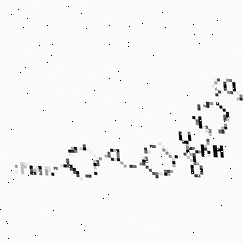 CCCCCc1ccc(OCc2ccc(S(=O)(=O)Nc3ccc(C(=O)O)cn3)cc2)cc1